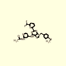 COc1ccc(Cn2cnc3c(Nc4ccnc(NC(C)=O)c4)nc(-c4cccc(C(F)F)n4)nc32)cc1